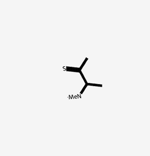 C[N]C(C)C(C)=S